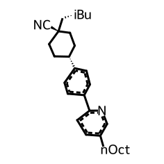 CCCCCCCCc1ccc(-c2ccc([C@H]3CC[C@@](C#N)(C[C@@H](C)CC)CC3)cc2)nc1